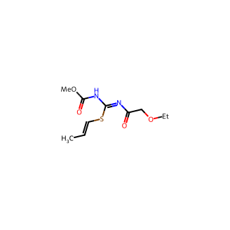 CC=CSC(=NC(=O)COCC)NC(=O)OC